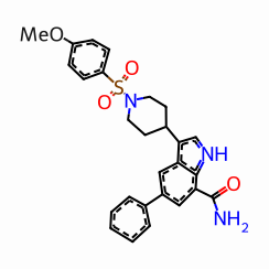 COc1ccc(S(=O)(=O)N2CCC(c3c[nH]c4c(C(N)=O)cc(-c5ccccc5)cc34)CC2)cc1